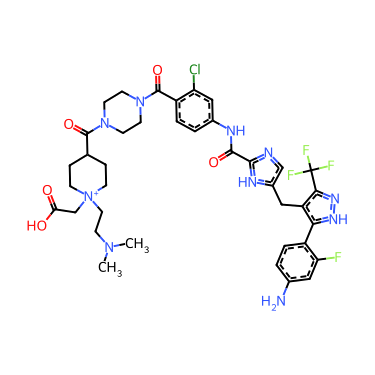 CN(C)CC[N+]1(CC(=O)O)CCC(C(=O)N2CCN(C(=O)c3ccc(NC(=O)c4ncc(Cc5c(C(F)(F)F)n[nH]c5-c5ccc(N)cc5F)[nH]4)cc3Cl)CC2)CC1